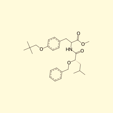 COC(=O)C(Cc1ccc(OCC(C)(C)C)cc1)NC(=O)[C@H](CC(C)C)OCc1ccccc1